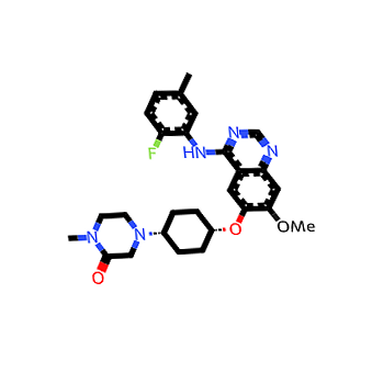 COc1cc2ncnc(Nc3cc(C)ccc3F)c2cc1O[C@H]1CC[C@@H](N2CCN(C)C(=O)C2)CC1